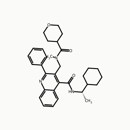 C[C@H](NC(=O)c1c(CN(C)C(=O)C2CCOCC2)c(-c2ccccc2)nc2ccccc12)C1CCCCC1